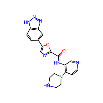 O=C(Nc1cnccc1N1CCNCC1)c1ncc(-c2ccc3[nH]nnc3c2)o1